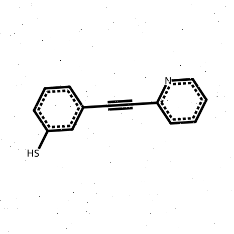 Sc1cccc(C#Cc2ccccn2)c1